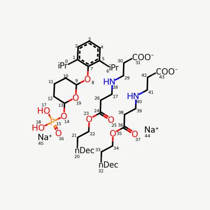 CC(C)c1cccc(C(C)C)c1OC1CCCC(OP(=O)(O)O)O1.CCCCCCCCCCCCOC(=O)CCNCCC(=O)[O-].CCCCCCCCCCCCOC(=O)CCNCCC(=O)[O-].[Na+].[Na+]